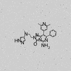 Cc1cc(-c2c(-c3ccccc3)nc(N)n3c(=O)n(CCN(C)c4cn[nH]c4)nc23)cc(C)n1